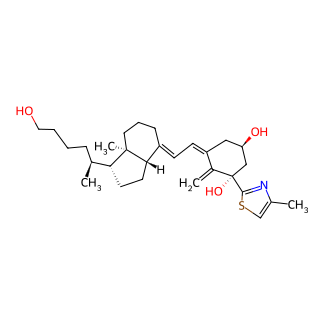 C=C1/C(=C\C=C2/CCC[C@]3(C)[C@@H]([C@@H](C)CCCCO)CC[C@@H]23)C[C@@H](O)C[C@@]1(O)c1nc(C)cs1